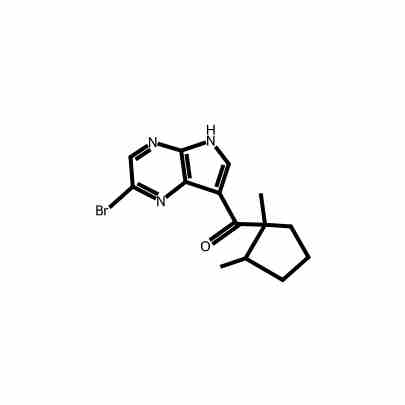 CC1CCCC1(C)C(=O)c1c[nH]c2ncc(Br)nc12